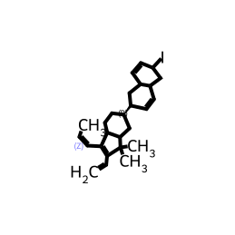 C=CC1=C(/C=C\C)C2CC[C@@H](C3C=CC4CC(I)C=CC4C3)CC2C1(C)C